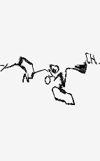 C=CCN(C1CCCC1)S(=O)(=O)c1ccc(Cl)nc1